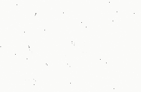 O=C(O)[C@@H]1CC[C@H](Nc2c([N+](=O)[O-])cnc3c2ccn3S(=O)(=O)c2ccccc2)C1